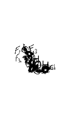 O=C(Nc1c(I)cc(C(F)(C(F)(F)F)C(F)(F)F)cc1C(F)(F)F)c1cccc(N(O)C(=O)c2ccc(Cl)cc2)c1F